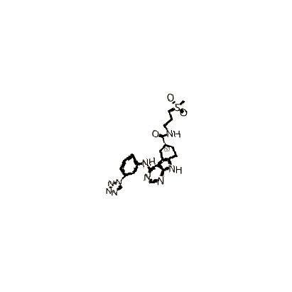 CS(=O)(=O)CCCNC(=O)[C@H]1CCc2[nH]c3ncnc(Nc4cccc(-n5cnnn5)c4)c3c2C1